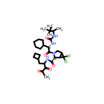 CC(=O)C(=O)C(CC1CCC1)NC(=O)[C@@H]1C2C(CN1C(=O)[C@@H](NC(=O)NC(C)C(C)(C)C)C1CCCCC1)C2(Cl)Cl